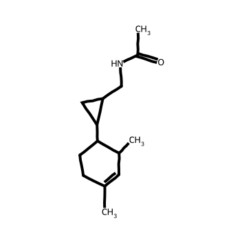 CC(=O)NCC1CC1C1CCC(C)=CC1C